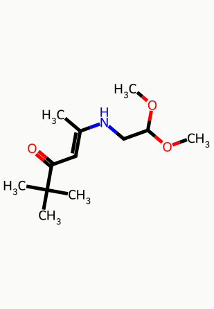 COC(CNC(C)=CC(=O)C(C)(C)C)OC